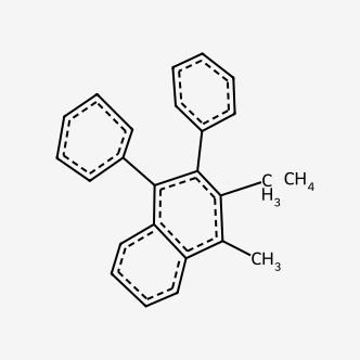 C.Cc1c(-c2ccccc2)c(-c2ccccc2)c2ccccc2c1C